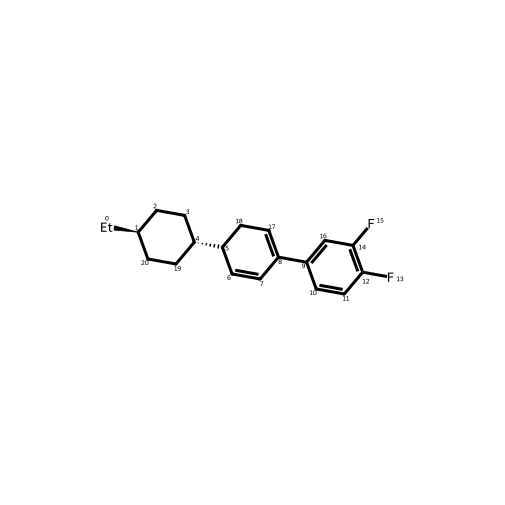 CC[C@H]1CC[C@H](C2C=CC(c3ccc(F)c(F)c3)=CC2)CC1